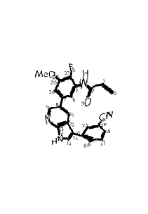 C=CC(=O)Nc1cc(-c2cnc3[nH]cc(-c4cccc(C#N)c4)c3c2)cc(OC)c1F